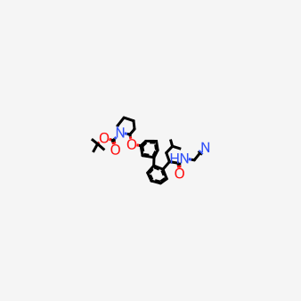 CC(C)CC(C(=O)NCC#N)c1ccccc1-c1cccc(OC2CCCCN2C(=O)OC(C)(C)C)c1